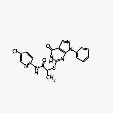 CC(Sc1nc2c(cnn2-c2ccccc2)c(=O)[nH]1)C(=O)Nc1ccc(Cl)cn1